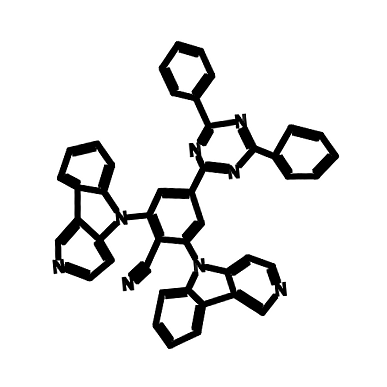 N#Cc1c(-n2c3ccccc3c3cnccc32)cc(-c2nc(-c3ccccc3)nc(-c3ccccc3)n2)cc1-n1c2ccccc2c2cnccc21